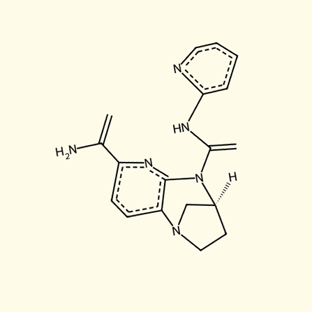 C=C(N)c1ccc2c(n1)N(C(=C)Nc1ccccn1)[C@H]1CCN2C1